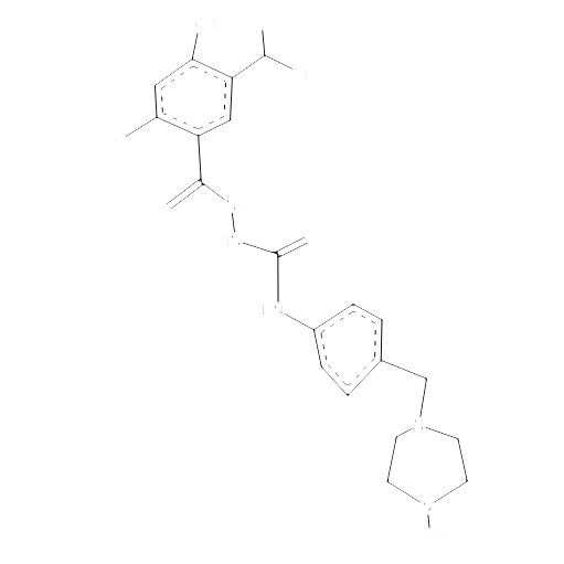 Cc1cc(C)c(C(C)C)cc1C(=O)NNC(=S)Nc1ccc(CN2CCN(C)CC2)cc1